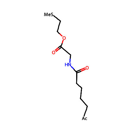 CSCCOC(=O)CNC(=O)CCCCC(C)=O